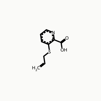 C=CCSc1cccnc1C(=O)O